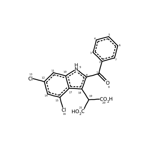 O=C(c1ccccc1)c1[nH]c2cc(Cl)cc(Cl)c2c1C(C(=O)O)C(=O)O